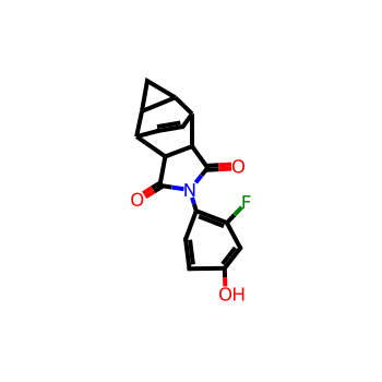 O=C1C2C3C=CC(C4CC34)C2C(=O)N1c1ccc(O)cc1F